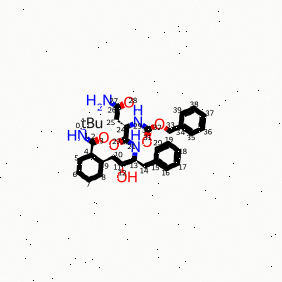 CC(C)(C)NC(=O)[C@@H]1CCCC[C@@H]1C[C@@H](O)[C@H](Cc1ccccc1)NC(=O)[C@H](CC(N)=O)NC(=O)OCc1ccccc1